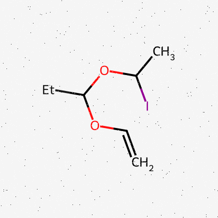 C=COC(CC)OC(C)I